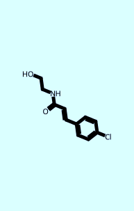 O=C(/C=C/c1ccc(Cl)cc1)NCCO